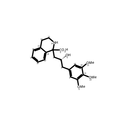 COc1cc(C[C@@H](O)CC2(C(=O)O)NCCc3ccccc32)cc(OC)c1OC